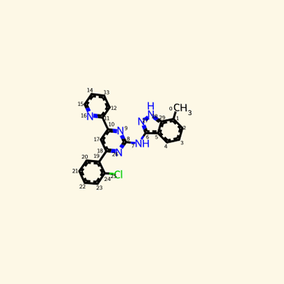 Cc1cccc2c(Nc3nc(-c4ccccn4)cc(-c4ccccc4Cl)n3)n[nH]c12